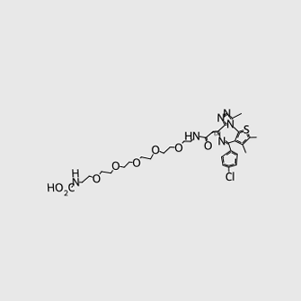 Cc1sc2c(c1C)C(c1ccc(Cl)cc1)=N[C@@H](CC(=O)NCCOCCOCCOCCOCCOCCNC(=O)O)c1nnc(C)n1-2